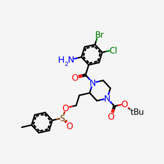 Cc1ccc(S(=O)OCCC2CN(C(=O)OC(C)(C)C)CCN2C(=O)c2cc(Cl)c(Br)cc2N)cc1